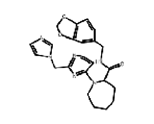 O=C(NCc1ccc2c(c1)OCO2)C1CCCCCN1c1ccnc(Cn2ccnc2)n1